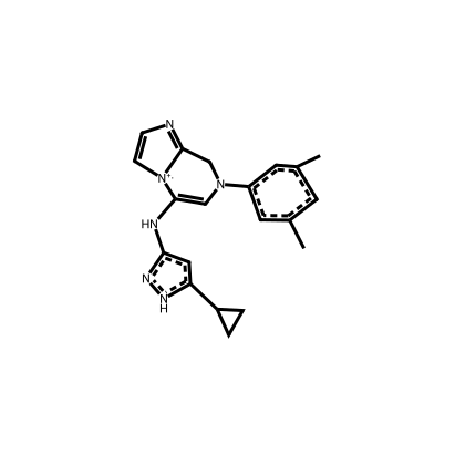 Cc1cc(C)cc(N2C=C(Nc3cc(C4CC4)[nH]n3)[N+]3C=CN=C3C2)c1